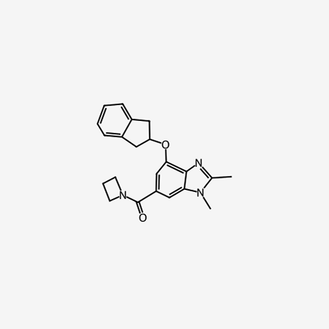 Cc1nc2c(OC3Cc4ccccc4C3)cc(C(=O)N3CCC3)cc2n1C